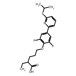 CCC(CCCOc1c(F)cc(-c2cccc(SC(C)C)n2)cc1F)C(=O)O